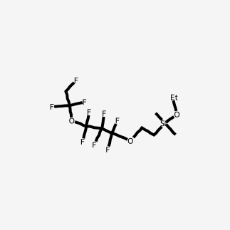 CCO[Si](C)(C)CCOC(F)(F)C(F)(F)C(F)(F)OC(F)(F)CF